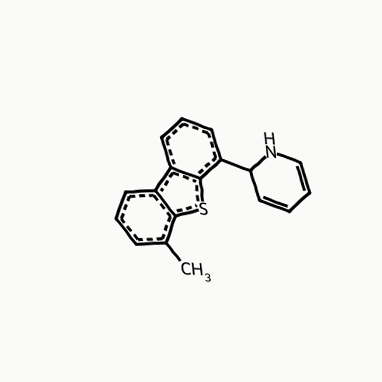 Cc1cccc2c1sc1c(C3C=CC=CN3)cccc12